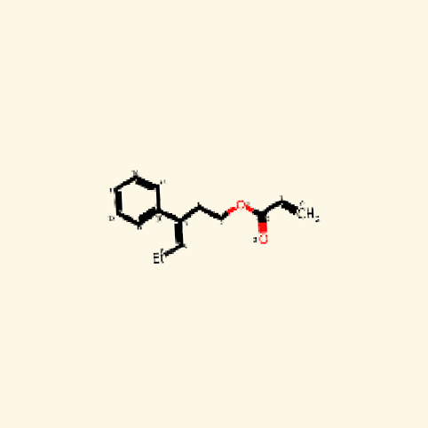 C=CC(=O)OCC/C(=C/CC)c1ccccc1